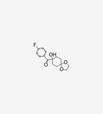 O=C(c1ccc(F)cc1)C1(O)CCC2(CC1)OCCO2